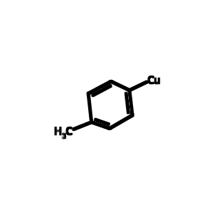 Cc1cc[c]([Cu])cc1